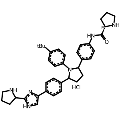 CC(C)(C)c1ccc(N2C(c3ccc(NC(=O)[C@H]4CCCN4)cc3)CCC2c2ccc(-c3c[nH]c(C4CCCN4)n3)cc2)cc1.Cl